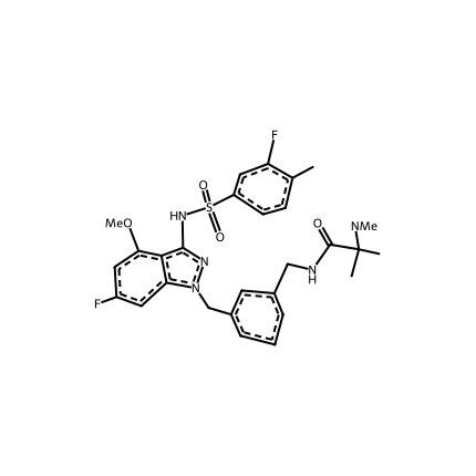 CNC(C)(C)C(=O)NCc1cccc(Cn2nc(NS(=O)(=O)c3ccc(C)c(F)c3)c3c(OC)cc(F)cc32)c1